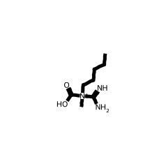 CCCCC[N+](C)(C(=N)N)C(=O)O